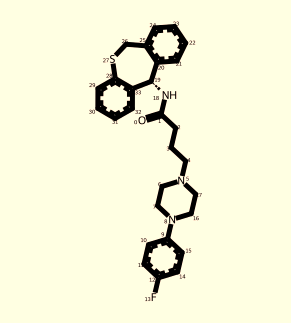 O=C(CCCN1CCN(c2ccc(F)cc2)CC1)N[C@H]1c2ccccc2CSc2ccccc21